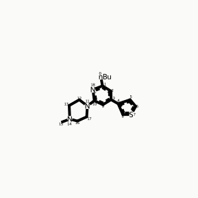 CCCCc1cc(-c2ccsc2)cc(N2CCN(C)CC2)n1